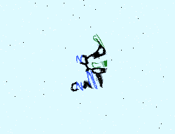 Clc1cccc(-c2cncc(-c3cn(CCCN4CCCCC4)c4cccc(Cl)c34)c2)c1